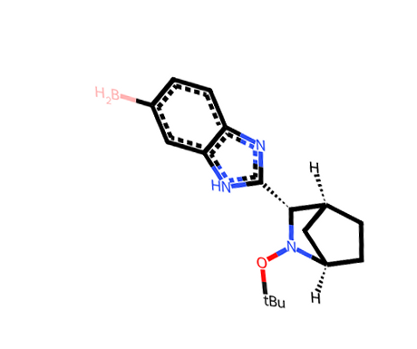 Bc1ccc2nc([C@@H]3[C@H]4CC[C@H](C4)N3OC(C)(C)C)[nH]c2c1